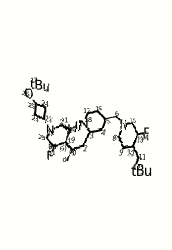 C[C@H](CC1CC(CN2CCC(CC(C)(C)C)C(F)C2)CCN1)[C@@H]1CCN([C@H]2C[C@H](OC(C)(C)C)C2)C[C@@H]1F